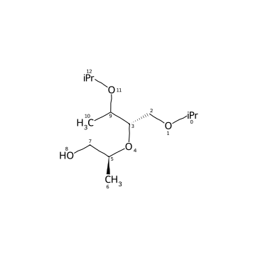 CC(C)OC[C@H](O[C@@H](C)CO)C(C)OC(C)C